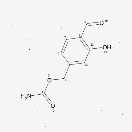 NC(=O)OCc1ccc(C=O)c(O)c1